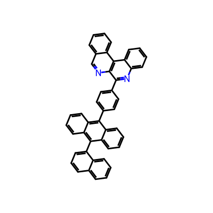 c1ccc2c(-c3c4ccccc4c(-c4ccc(-c5nc6ccccc6c6c5ncc5ccccc56)cc4)c4ccccc34)cccc2c1